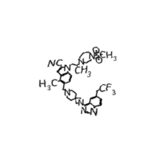 Cc1c(CN2CCC3(CC2)CN(c2ncnc4ccc(CC(F)(F)F)cc24)C3)ccc2c1cc(C#N)n2C[C@H](C)N1CCCN(S(C)(=O)=O)CC1